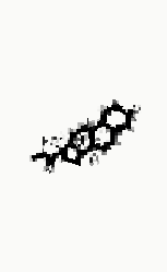 CCC(=O)[C@@]1(O)CC[C@H]2[C@@H]3CCC4=CC(=O)CC[C@]4(C)[C@H]3CC[C@@]21C